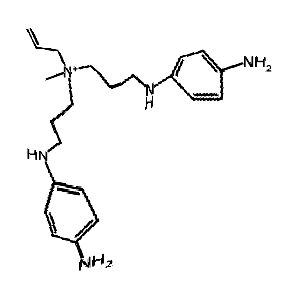 C=CC[N+](C)(CCCNc1ccc(N)cc1)CCCNc1ccc(N)cc1